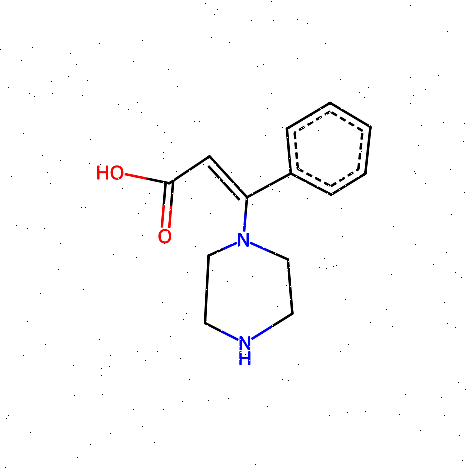 O=C(O)/C=C(/c1ccccc1)N1CCNCC1